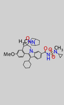 COc1ccc2c(c1)C1CC1(C(=O)N1C3CCC1CN(C)C3)Cn1c-2c(C2CCCCC2)c2ccc(C(=O)NS(=O)(=O)N(C)C3CC3)cc21